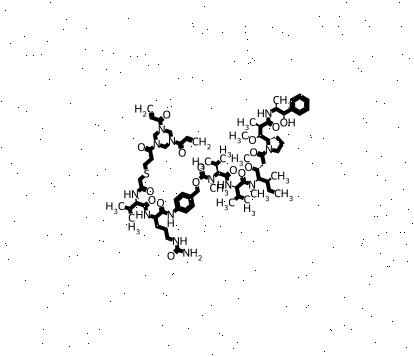 C=CC(=O)N1CN(C(=O)C=C)CN(C(=O)CCSCC(=O)N[C@H](C(=O)NC(CCCNC(N)=O)C(=O)Nc2ccc(COC(=O)N(C)[C@H](C(=O)N[C@H](C(=O)N(C)[C@@H]([C@@H](C)CC)[C@@H](CC(=O)N3CCC[C@H]3[C@H](OC)[C@@H](C)C(=O)N[C@H](C)[C@@H](O)c3ccccc3)OC)C(C)C)C(C)C)cc2)C(C)C)C1